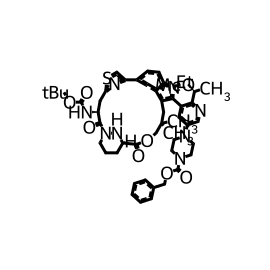 CCn1c(-c2cc(N3CCN(C(=O)OCc4ccccc4)CC3)cnc2[C@H](C)OC)c2c3cc(ccc31)-c1csc(n1)C[C@H](NC(=O)OC(C)(C)C)C(=O)N1CCC[C@H](N1)C(=O)OCC(C)(C)C2